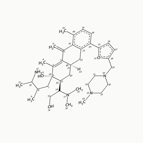 C=C1C2=C(C)[C@](O)(CC(C)C(C)N)[C@H](C(CO)N(C)C)C[C@@H]2Cc2c(-c3ccc(CN4CCN(C)CC4)o3)ccc(C)c21